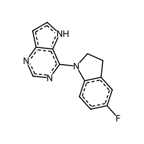 Fc1ccc2c(c1)CCN2c1ncnc2cc[nH]c12